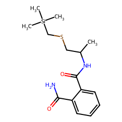 CC(CSC[Si](C)(C)C)NC(=O)c1ccccc1C(N)=O